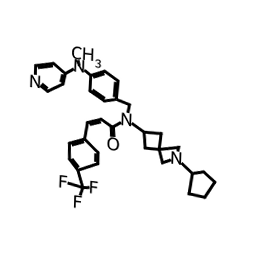 CN(c1ccncc1)c1ccc(CN(C(=O)C=Cc2ccc(C(F)(F)F)cc2)C2CC3(C2)CN(C2CCCC2)C3)cc1